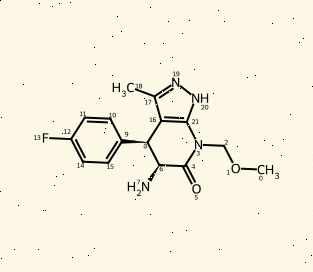 COCN1C(=O)[C@@H](N)[C@@H](c2ccc(F)cc2)c2c(C)n[nH]c21